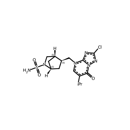 CC(C)c1cn(C[C@H]2C[C@H]3C[C@@H]2CN3S(N)(=O)=O)c2nc(Cl)nn2c1=O